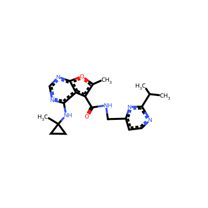 Cc1oc2ncnc(NC3(C)CC3)c2c1C(=O)NCc1ccnc(C(C)C)n1